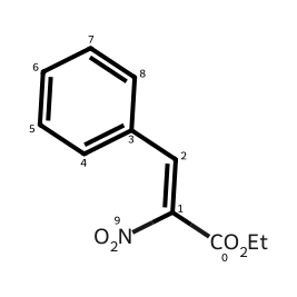 CCOC(=O)C(=Cc1ccccc1)[N+](=O)[O-]